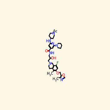 CC(=O)N1CCC(Nc2cc(C(=O)NC[C@@H](O)CN3CCc4c(C)c(OCc5ocnc5C)cc(F)c4C3)cc(N3CCCCC3)n2)CC1